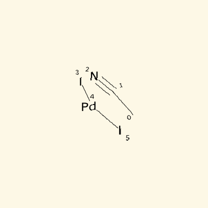 CC#N.[I][Pd][I]